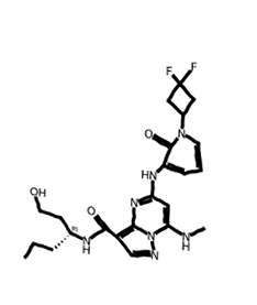 CCC[C@H](CCO)NC(=O)c1cnn2c(NC)cc(Nc3cccn(C4CC(F)(F)C4)c3=O)nc12